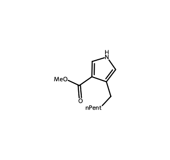 CCCCCCc1c[nH]cc1C(=O)OC